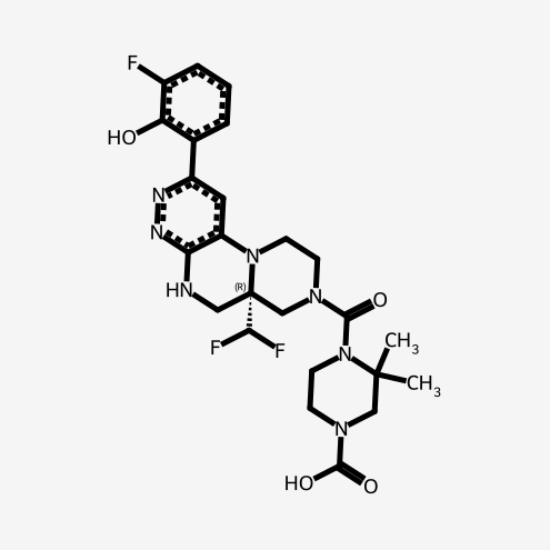 CC1(C)CN(C(=O)O)CCN1C(=O)N1CCN2c3cc(-c4cccc(F)c4O)nnc3NC[C@]2(C(F)F)C1